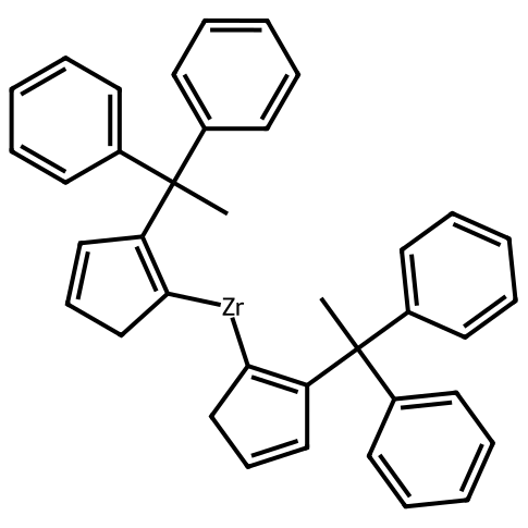 CC(C1=[C]([Zr][C]2=C(C(C)(c3ccccc3)c3ccccc3)C=CC2)CC=C1)(c1ccccc1)c1ccccc1